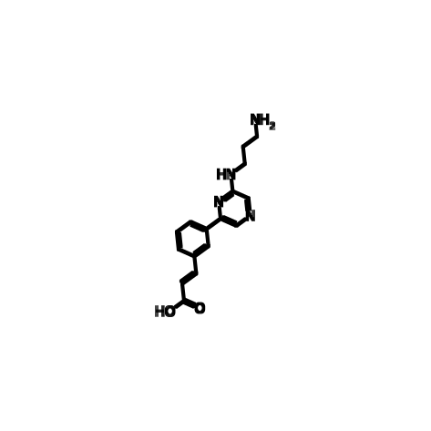 NCCCNc1cncc(-c2cccc(C=CC(=O)O)c2)n1